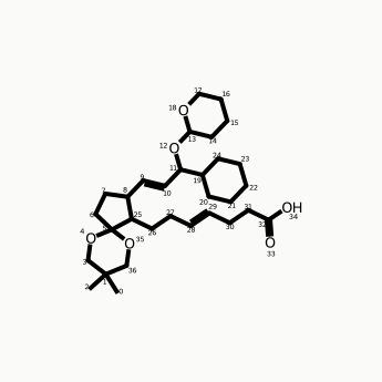 CC1(C)COC2(CCC(C=CC(OC3CCCCO3)C3CCCCC3)C2CCC=CCCC(=O)O)OC1